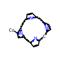 [Co][c]1cc2cc3nc(cc4ccc(cc5nc(cc1[nH]2)C=C5)[nH]4)C=C3